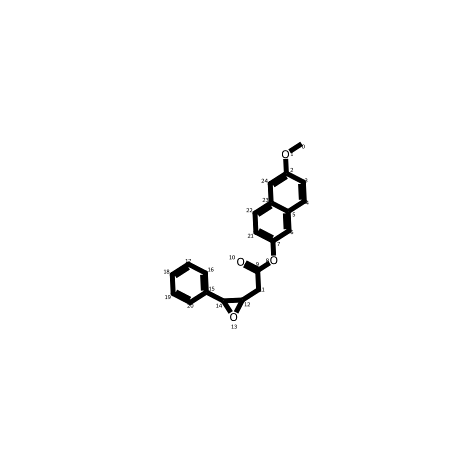 COc1ccc2cc(OC(=O)CC3OC3c3ccccc3)ccc2c1